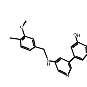 COc1cc(CNc2cncc(-c3cccc(O)c3)c2)ccc1C